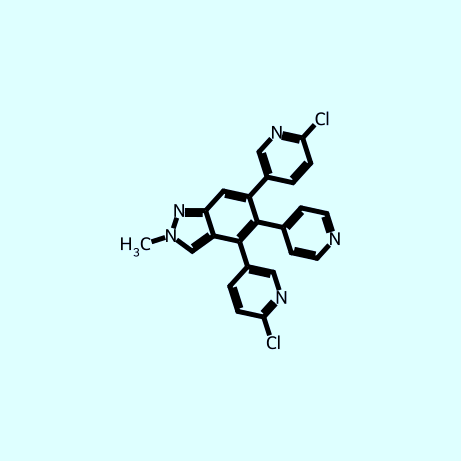 Cn1cc2c(-c3ccc(Cl)nc3)c(-c3ccncc3)c(-c3ccc(Cl)nc3)cc2n1